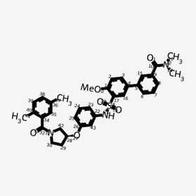 COc1ccc(-c2cccc(C(=O)N(C)C)c2)cc1S(=O)(=O)Nc1cccc(O[C@H]2CCN(C(=O)c3cc(C)ccc3C)C2)c1